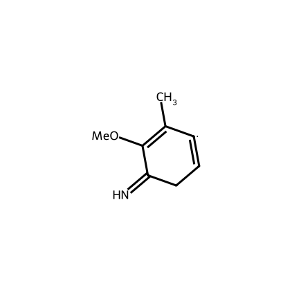 COC1=C(C)[C]=CCC1=N